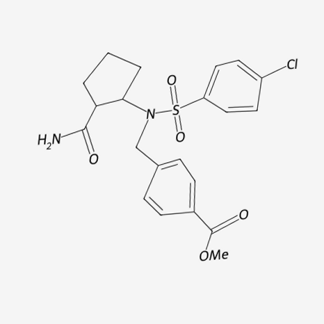 COC(=O)c1ccc(CN(C2CCCC2C(N)=O)S(=O)(=O)c2ccc(Cl)cc2)cc1